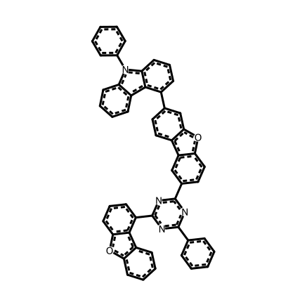 c1ccc(-c2nc(-c3ccc4oc5cc(-c6cccc7c6c6ccccc6n7-c6ccccc6)ccc5c4c3)nc(-c3cccc4oc5ccccc5c34)n2)cc1